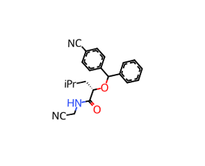 CC(C)C[C@H](OC(c1ccccc1)c1ccc(C#N)cc1)C(=O)NCC#N